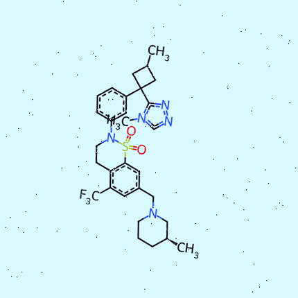 CC1CC(c2cccc(N3CCc4c(C(F)(F)F)cc(CN5CCC[C@H](C)C5)cc4S3(=O)=O)c2)(c2nncn2C)C1